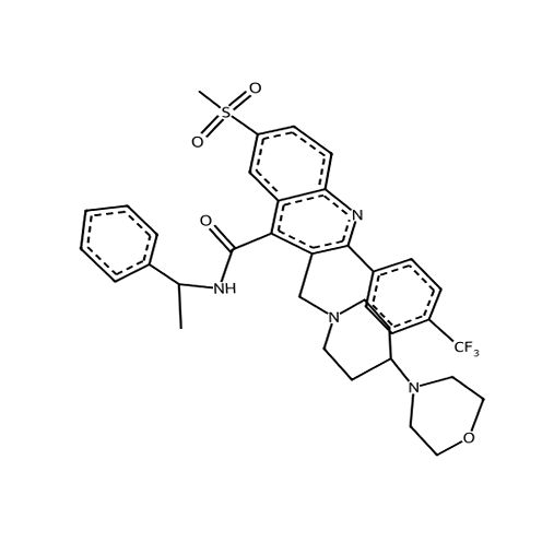 CC(NC(=O)c1c(CN2CCC(N3CCOCC3)CC2)c(-c2ccc(C(F)(F)F)cc2)nc2ccc(S(C)(=O)=O)cc12)c1ccccc1